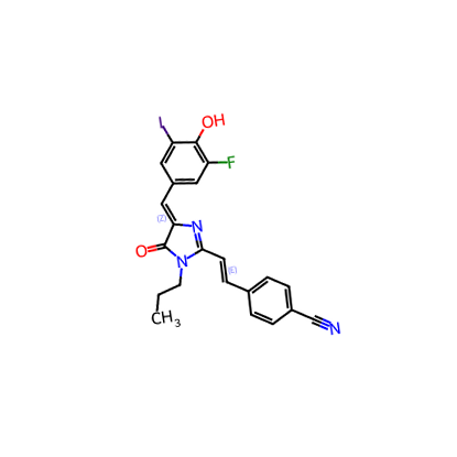 CCCN1C(=O)/C(=C/c2cc(F)c(O)c(I)c2)N=C1/C=C/c1ccc(C#N)cc1